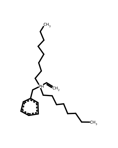 C=C[PH](CCCCCCCC)(CCCCCCCC)Cc1ccccc1